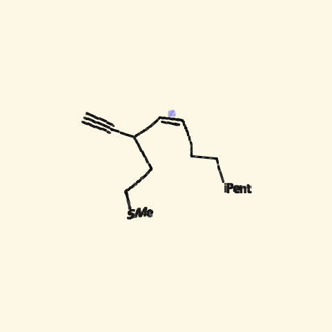 C#CC(/C=C\CCC(C)CCC)CCSC